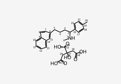 CNC(CCCc1ccc2ccccc2c1)c1ccc(C)cc1.O=C(O)CC(O)(CC(=O)O)C(=O)O